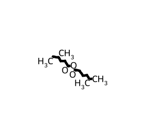 CCC(C)CCC(=O)OC(=O)CCCC(C)C